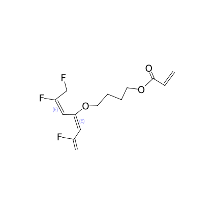 C=CC(=O)OCCCCOC(/C=C(/F)CF)=C/C(=C)F